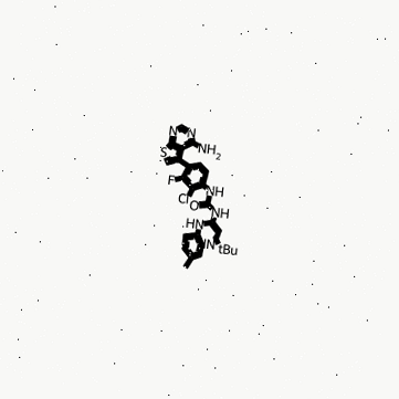 Cc1ccc(N/C(=C\C(=N)C(C)(C)C)NC(=O)Nc2ccc(-c3csc4ncnc(N)c34)c(F)c2Cl)cc1